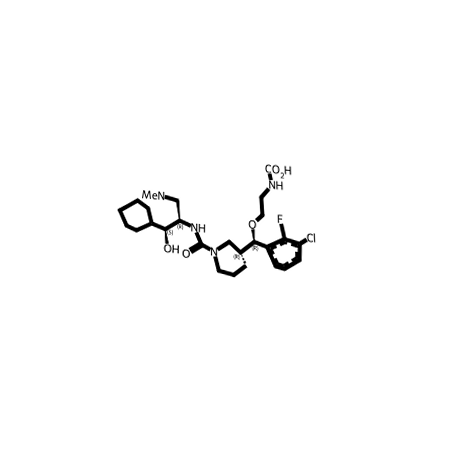 CNC[C@@H](NC(=O)N1CCC[C@@H]([C@@H](OCCNC(=O)O)c2cccc(Cl)c2F)C1)[C@@H](O)C1CCCCC1